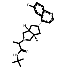 CC(C(=O)NC(C)(C)C)N1C[C@H]2C[C@@H](c3ccnc4ccc(F)cc34)C[C@H]2C1